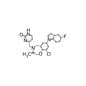 C[C@@H]1COc2c(Cl)cc(-n3ccc4cc(F)ccc43)cc2CN1Cc1cc[nH]c(=O)n1